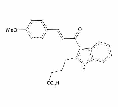 COc1ccc(C=CC(=O)c2c(CCCC(=O)O)[nH]c3ccccc23)cc1